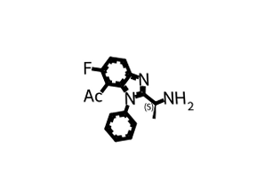 CC(=O)c1c(F)ccc2nc([C@H](C)N)n(-c3ccccc3)c12